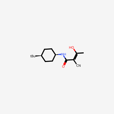 CC(O)=C(C#N)C(=O)N[C@H]1CC[C@@H](C(C)(C)C)CC1